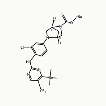 CCc1cc(N2C[C@H]3C[C@@H]2CN3C(=O)OC(C)(C)C)ccc1Nc1ncc(C(F)(F)F)[c]([Sn]([CH3])([CH3])[CH3])n1